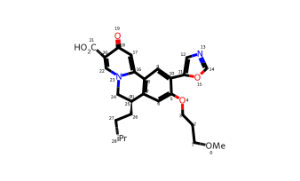 COCCCOc1cc2c(cc1-c1cnco1)-c1cc(=O)c(C(=O)O)cn1C[C@@H]2CCC(C)C